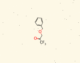 O=C(COCc1ccccc1)C(F)(F)F